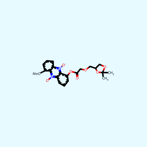 COc1cccc2c1[n+]([O-])c1cccc(OC(=O)COCC3COC(C)(C)O3)c1[n+]2[O-]